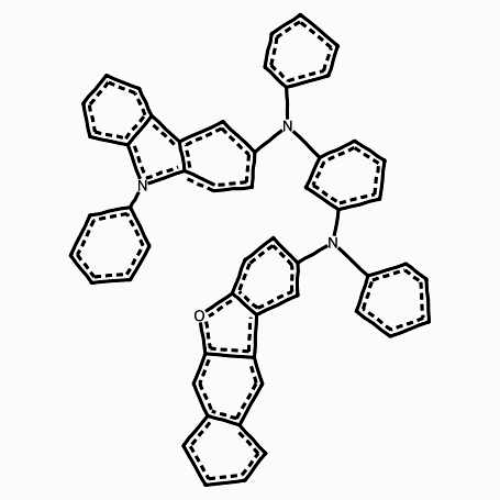 c1ccc(N(c2cccc(N(c3ccccc3)c3ccc4c(c3)c3ccccc3n4-c3ccccc3)c2)c2ccc3oc4cc5ccccc5cc4c3c2)cc1